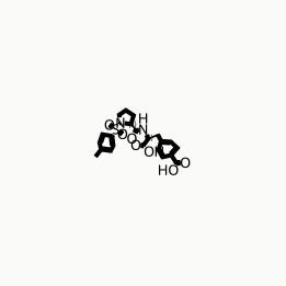 Cc1ccc(S(=O)(=O)N2CCC[C@H]2C(=O)N[C@@H](Cc2ccc(C(=O)O)cc2)C(=O)O)cc1